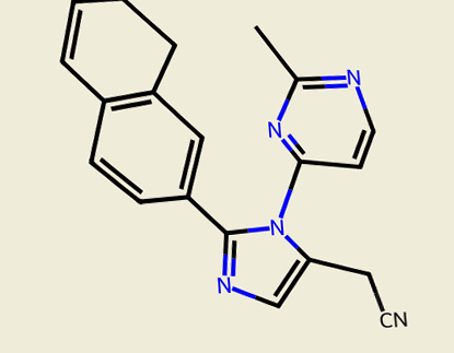 Cc1nccc(-n2c(CC#N)cnc2-c2ccc3c(c2)CCC=C3)n1